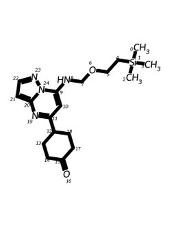 C[Si](C)(C)CCOCNc1cc(C2CCC(=O)CC2)nc2ccnn12